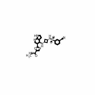 CNC(=O)c1cnc(-c2cnc3[nH]ccc3c2N[C@H]2C[C@@H](NS(=O)(=O)c3cccc(C#N)c3)C2)o1